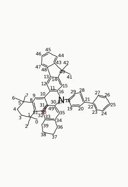 CC1(C)CCC(C)(C)c2cc(-c3cc4c(cc3N(c3ccc(-c5ccccc5)cc3)c3ccc5c(c3)CCCC5)C(C)(C)c3ccccc3-4)ccc21